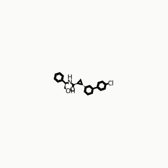 O=C(N[C@@H](CO)c1ccccc1)[C@H]1C[C@@H]1c1cccc(-c2ccc(Cl)cc2)c1